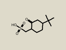 CC(C)(C)C1CCC(CS(=O)(=O)O)C(=O)C1